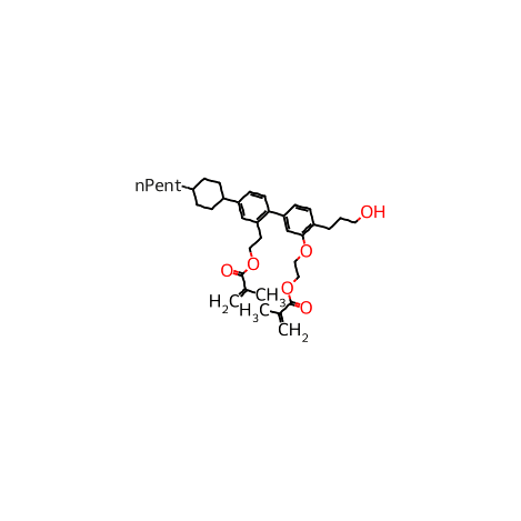 C=C(C)C(=O)OCCOc1cc(-c2ccc(C3CCC(CCCCC)CC3)cc2CCOC(=O)C(=C)C)ccc1CCCO